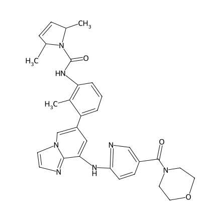 Cc1c(NC(=O)N2C(C)C=CC2C)cccc1-c1cc(Nc2ccc(C(=O)N3CCOCC3)cn2)c2nccn2c1